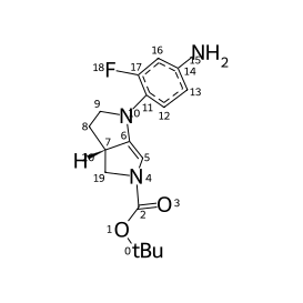 CC(C)(C)OC(=O)N1C=C2[C@@H](CCN2c2ccc(N)cc2F)C1